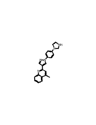 Cc1cc(-c2cnn(-c3ccc(N4CCNC4)cc3)c2)nc2ccccc12